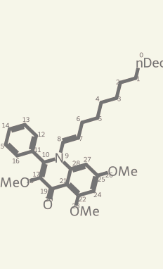 CCCCCCCCCCCCCCCCC=Cn1c(-c2ccccc2)c(OC)c(=O)c2c(OC)cc(OC)cc21